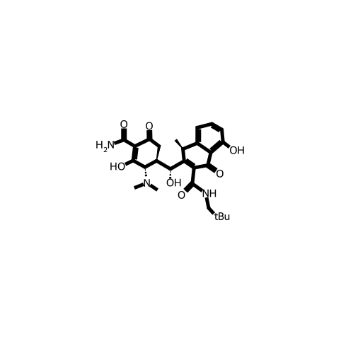 C[C@@H]1C([C@H](O)[C@@H]2CC(=O)C(C(N)=O)=C(O)[C@H]2N(C)C)=C(C(=O)NCC(C)(C)C)C(=O)c2c(O)cccc21